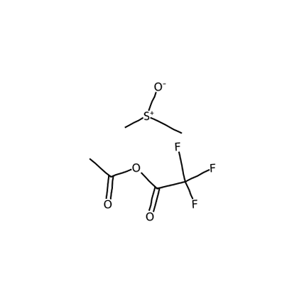 CC(=O)OC(=O)C(F)(F)F.C[S+](C)[O-]